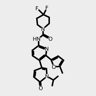 Cc1ccc(-c2nc(NC(=O)N3CCC(F)(F)CC3)ccc2-c2ccc(=O)n(C(C)C)c2)o1